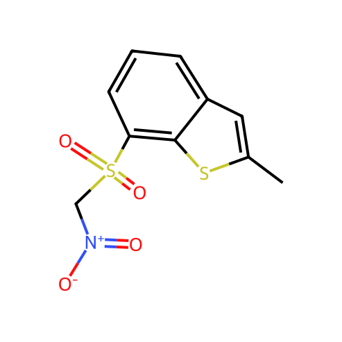 Cc1cc2cccc(S(=O)(=O)C[N+](=O)[O-])c2s1